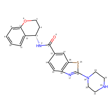 O=C(N[C@H]1CCOc2ccccc21)c1ccc2nc(N3CCNCC3)sc2c1